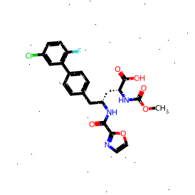 COC(=O)N[C@H](C[C@@H](Cc1ccc(-c2cc(Cl)ccc2F)cc1)NC(=O)c1ncco1)C(=O)O